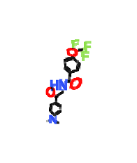 CN(C)c1ccc(C(=O)CNC(=O)c2ccc(OC(F)(F)F)cc2)cc1